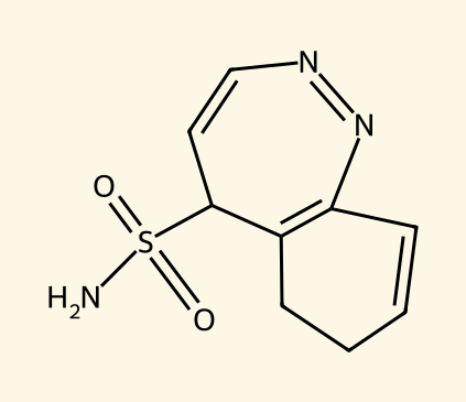 NS(=O)(=O)C1C=CN=NC2=C1CCC=C2